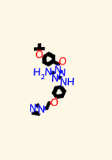 CC(C)(C)Oc1ccc(C(=O)n2nc(Nc3ccc(OCCn4ccnc4)cc3)nc2N)cc1